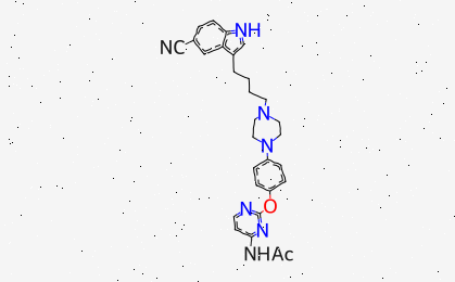 CC(=O)Nc1ccnc(Oc2ccc(N3CCN(CCCCc4c[nH]c5ccc(C#N)cc45)CC3)cc2)n1